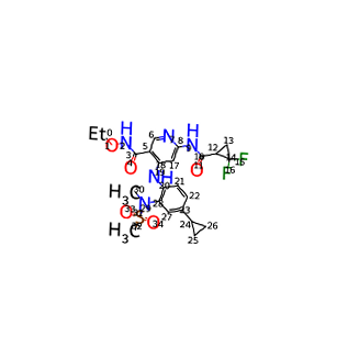 CCONC(=O)c1cnc(NC(=O)C2CC2(F)F)cc1Nc1ccc(C2CC2)cc1N(C)S(C)(=O)=O